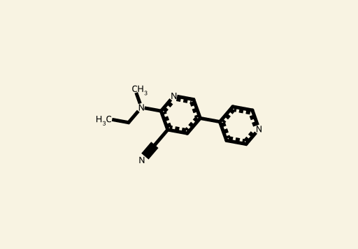 CCN(C)c1ncc(-c2ccncc2)cc1C#N